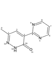 Cc1cc(-c2ncccn2)c(=O)[nH]n1